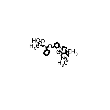 CSc1ncc2c(n1)N(C)CCN(c1cccc(CO[C@@H](CCN(C)C(=O)O)c3ccccc3)c1)C2=O